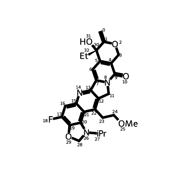 C=C1OCc2c(cc3n(c2=O)Cc2c-3nc3cc(F)c4c(c3c2CCOC)N(C(C)C)CO4)[C@@]1(O)CC